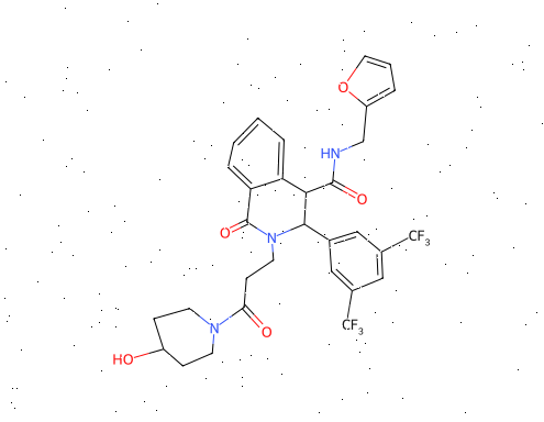 O=C(NCc1ccco1)C1c2ccccc2C(=O)N(CCC(=O)N2CCC(O)CC2)C1c1cc(C(F)(F)F)cc(C(F)(F)F)c1